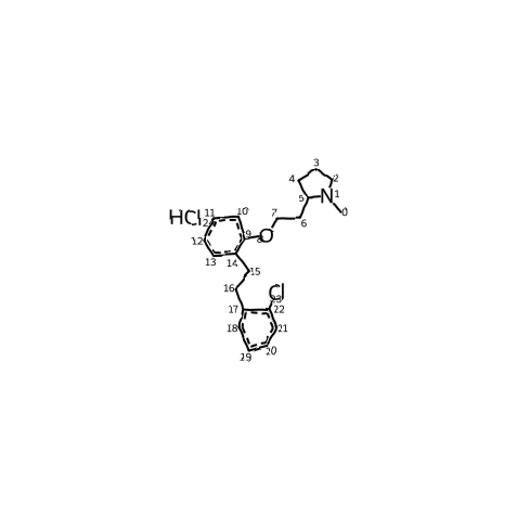 CN1CCCC1CCOc1ccccc1CCc1ccccc1Cl.Cl